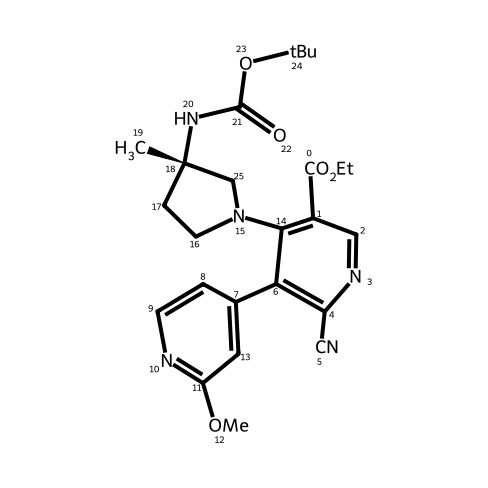 CCOC(=O)c1cnc(C#N)c(-c2ccnc(OC)c2)c1N1CC[C@](C)(NC(=O)OC(C)(C)C)C1